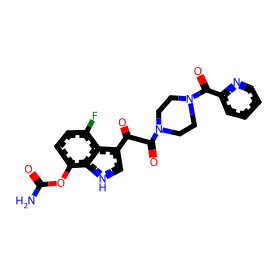 NC(=O)Oc1ccc(F)c2c(C(=O)C(=O)N3CCN(C(=O)c4ccccn4)CC3)c[nH]c12